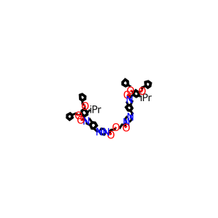 CC(C)c1cc(C(=O)N2Cc3ccc(CN4CCN(C(=O)CCOCCC(=O)N5CCN(Cc6ccc7c(c6)CN(C(=O)c6cc(C(C)C)c(OCc8ccccc8)cc6OCc6ccccc6)C7)CC5)CC4)cc3C2)c(OCc2ccccc2)cc1OCc1ccccc1